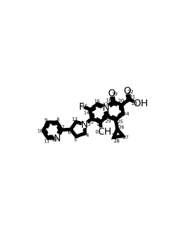 Cc1c(N2CCC(c3ccccn3)C2)c(F)cn2c(=O)c(C(=O)O)cc(C3CC3)c12